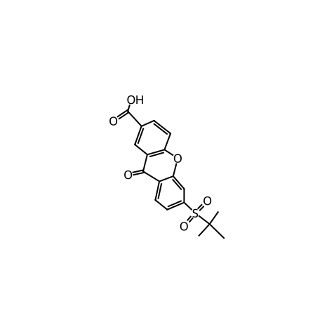 CC(C)(C)S(=O)(=O)c1ccc2c(=O)c3cc(C(=O)O)ccc3oc2c1